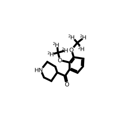 [2H]C([2H])([2H])Oc1cccc(C(=O)C2CCNCC2)c1OC([2H])([2H])[2H]